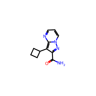 NC(=O)c1nn2cccnc2c1C1CCC1